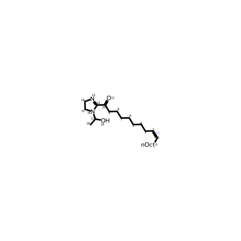 CCCCCCCC/C=C\CCCCCCCC(=O)C1=NCCN1C(C)O